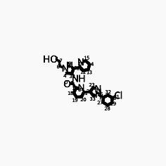 O=C(Nc1cn(CCO)nc1-c1ccccn1)c1cccc(-c2cnn(-c3cccc(Cl)c3)c2)n1